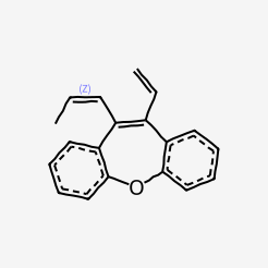 C=CC1=C(/C=C\C)c2ccccc2Oc2ccccc21